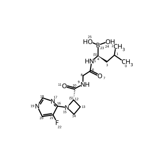 CC(C)C[C@@H](NC(=O)CNC(=O)[C@@H]1CCN1c1ncncc1F)B(O)O